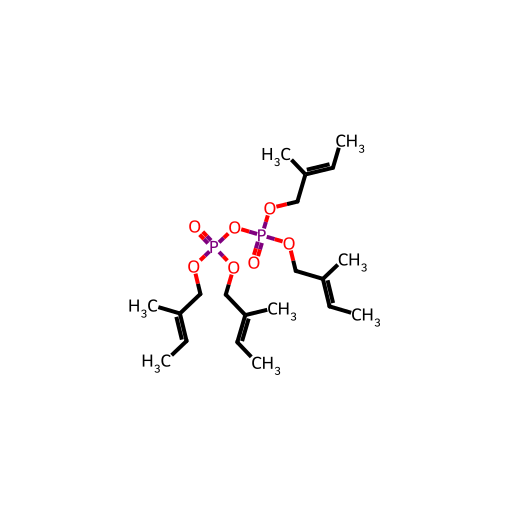 C/C=C(\C)COP(=O)(OC/C(C)=C/C)OP(=O)(OC/C(C)=C/C)OC/C(C)=C/C